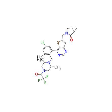 Cc1cc(Cl)cc(-c2ncnc3cc(CN4CC5CC5C4=O)sc23)c1CN1[C@@H](C)CN(C(=O)C(F)(F)F)C[C@@H]1C